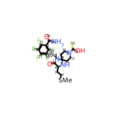 CCCCN1C(=O)C(CCSC)NC12CCN(C(O)=S)CC2.NC(=O)c1c(F)c(F)c(F)c(F)c1F